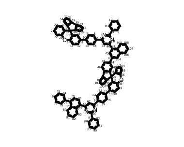 c1ccc(-c2nc(-c3ccc(-c4ccc5c(c4)C4(c6ccccc6O5)c5ccccc5-c5ccccc54)cc3)cc(-c3cc(-c4ccc5c(c4)C4(c6ccccc6Oc6ccc(-c7ccc(-c8cc(-c9ccc(-c%10ccccc%10)c%10ccccc9%10)nc(-c9ccccc9)n8)cc7)cc64)c4ccccc4-5)cc4ccccc34)n2)cc1